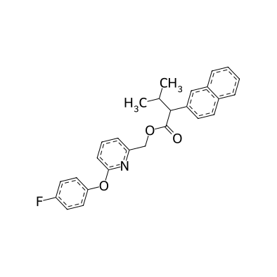 CC(C)C(C(=O)OCc1cccc(Oc2ccc(F)cc2)n1)c1ccc2ccccc2c1